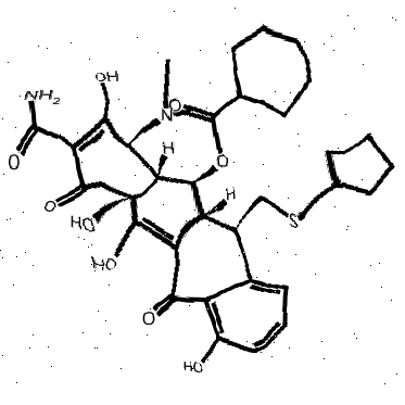 CN(C)[C@@H]1C(O)=C(C(N)=O)C(=O)[C@@]2(O)C(O)=C3C(=O)c4c(O)cccc4[C@H](CSC4CCCC4)[C@H]3[C@H](OC(=O)C3CCCCC3)[C@@H]12